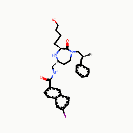 CC[C@H](CN1CC[C@@H](CNC(=O)c2ccc3cc(I)ccc3c2)N[C@@H](CCCCO)C1=O)c1ccccc1